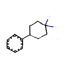 C[C@@H]1CC(c2ccccc2)CCC1(N)N